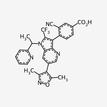 Cc1noc(C)c1-c1cnc2c(-c3ccc(C(=O)O)cc3C#N)c(C(F)(F)F)n(C(C)c3ccccn3)c2c1